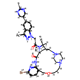 CC(=O)c1nn(CC(=O)N2[C@H]3C[C@]4(C[C@@H]24)CN2CCN(CCCOCc4ccc(Br)nc4NC3=O)CC2)c2ccc(-c3cnc(C)nc3)cc12